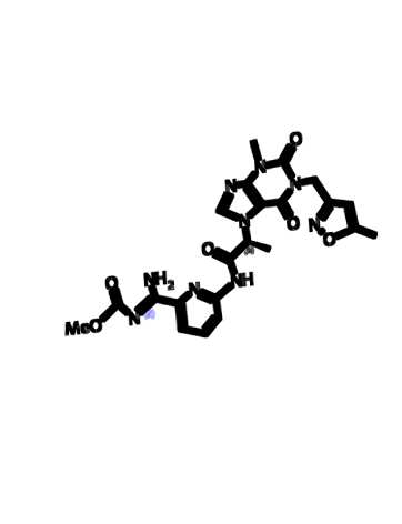 COC(=O)/N=C(\N)c1cccc(NC(=O)[C@H](C)n2cnc3c2c(=O)n(Cc2cc(C)on2)c(=O)n3C)n1